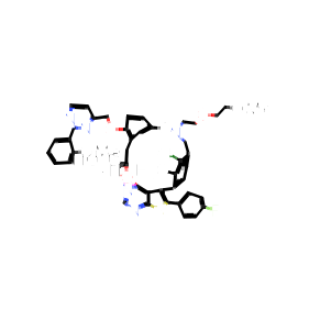 COCCOCCN1Cc2ccc(OCc3ccnc(-c4ccccc4OC)n3)c(c2)C[C@H](C(=O)O)Oc2ncnc3sc(-c4ccc(F)cc4)c(c23)-c2ccc(c(Cl)c2C)C1